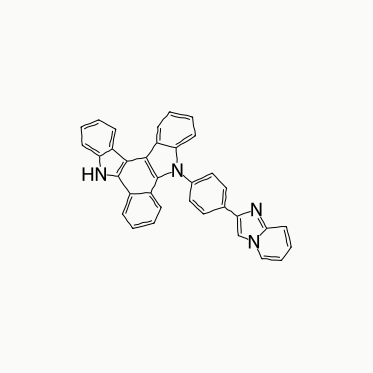 c1ccc2c(c1)[nH]c1c3ccccc3c3c(c4ccccc4n3-c3ccc(-c4cn5ccccc5n4)cc3)c21